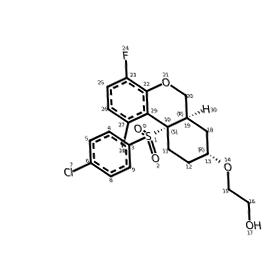 O=S(=O)(c1ccc(Cl)cc1)[C@@]12CC[C@@H](OCCO)C[C@@H]1COc1c(F)ccc(F)c12